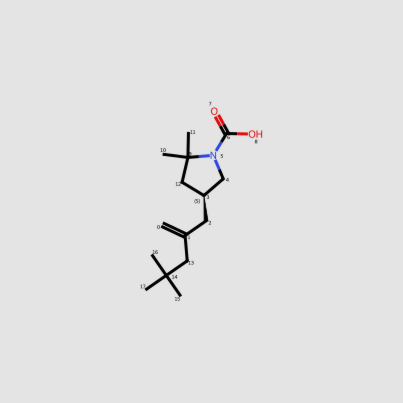 C=C(C[C@@H]1CN(C(=O)O)C(C)(C)C1)CC(C)(C)C